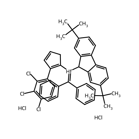 CC(C)(C)c1ccc2c(c1)[CH]([Hf]([C]1=C(c3ccc(Cl)c(Cl)c3Cl)C=CC1)=[C](c1ccccc1)c1ccccc1)c1cc(C(C)(C)C)ccc1-2.Cl.Cl